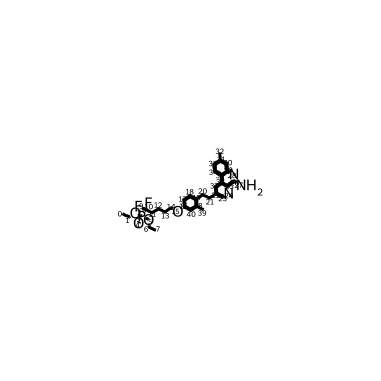 CCOP(=O)(OCC)C(F)(F)CCCCOc1ccc(CCc2cnc3c(N)nc4cc(C)ccc4c3c2)c(C)c1